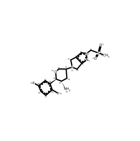 CS(=O)(=O)Cn1cc2c(n1)CN(C1CO[C@H](c3cc(F)ccc3F)[C@@H](N)C1)C2